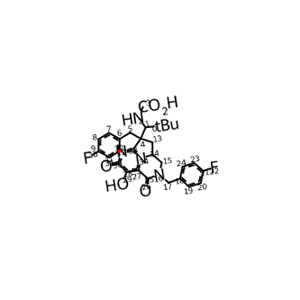 CC(C)(C)C(NC(=O)O)C1(Cc2ccc(F)cc2)CC2CN(Cc3ccc(F)cc3)C(=O)c3c(O)c(=O)nc1n32